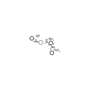 O=[N+]([O-])c1cnc(NCc2ccccc2OC(F)(F)F)nc1NC[C@H]1CC[C@H](N[C@@H](CO)c2ccccc2)CC1